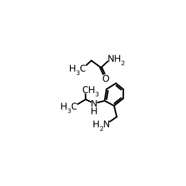 CC(C)Nc1ccccc1CN.CCC(N)=O